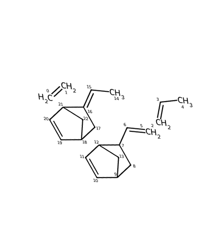 C=C.C=CC.C=CC1CC2C=CC1C2.CC=C1CC2C=CC1C2